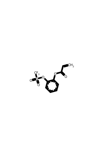 C=CC(=O)Oc1ccccc1OS(=O)(=O)C(F)(F)F